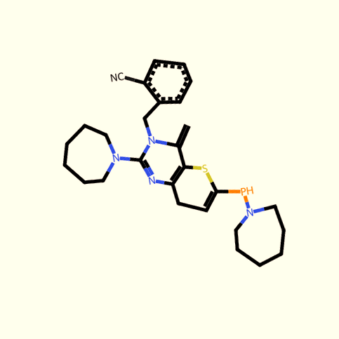 C=C1C2=C(CC=C(PN3CCCCCC3)S2)N=C(N2CCCCCC2)N1Cc1ccccc1C#N